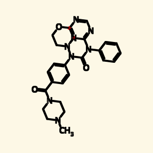 CN1CCN(C(=O)c2ccc(N(C(=O)N(c3ccccc3)c3ncncn3)N3CCOCC3)cc2)CC1